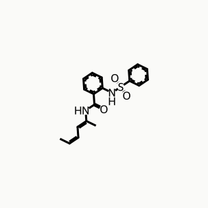 C/C=C\C=C(/C)NC(=O)c1ccccc1NS(=O)(=O)c1ccccc1